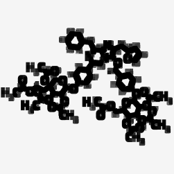 CC(=O)OCCC1(OC(C)=O)COC(Oc2ccc(-c3cn4c(OCc5ccc(OC6OC(COC(C)=O)C(OC(C)=O)C(OC(C)=O)C6OC(C)=O)cc5)c(Cc5ccco5)nc4c(Cc4ccccc4)n3)cc2)C(OC(C)=O)C1OC(C)=O